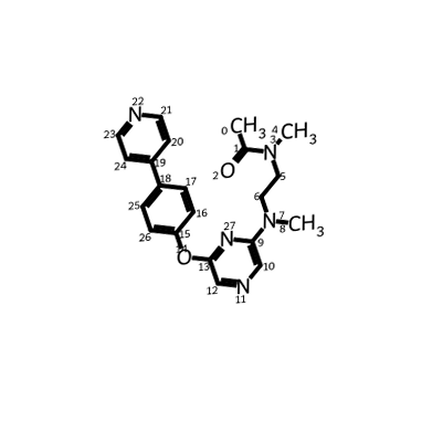 CC(=O)N(C)CCN(C)c1cncc(Oc2ccc(-c3ccncc3)cc2)n1